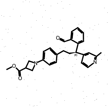 COC(=O)C1CN(c2ccc(CC[C@H](c3ccnc(C)c3)c3ccccc3C=O)cc2)C1